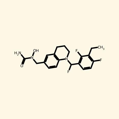 CCc1c(F)ccc(C(F)N2CCCc3cc(CN(O)C(N)=O)ccc32)c1F